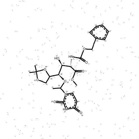 COC(=O)[C@@H](NC(=O)OCc1ccccc1)[C@H](O)[C@@H](OC(C)n1ccc(=O)[nH]c1=O)C1COC(C)(C)O1